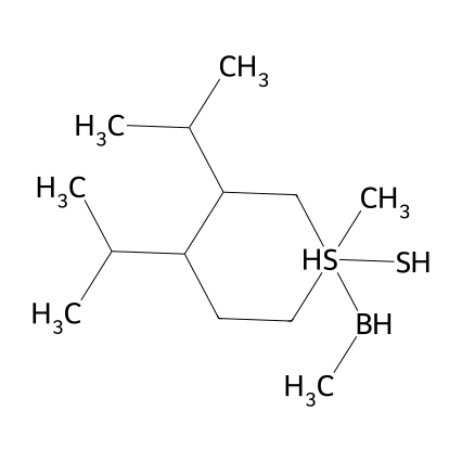 CB[SH]1(C)(S)CCC(C(C)C)C(C(C)C)C1